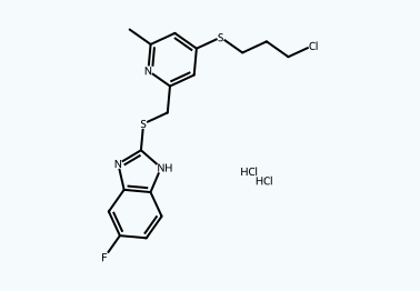 Cc1cc(SCCCCl)cc(CSc2nc3cc(F)ccc3[nH]2)n1.Cl.Cl